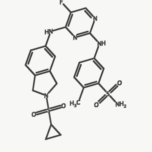 Cc1ccc(Nc2ncc(F)c(Nc3ccc4c(c3)CN(S(=O)(=O)C3CC3)C4)n2)cc1S(N)(=O)=O